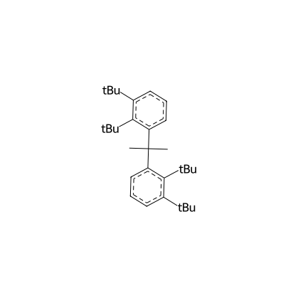 CC(C)(C)c1cccc(C(C)(C)c2cccc(C(C)(C)C)c2C(C)(C)C)c1C(C)(C)C